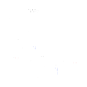 CNc1scc2c1CN(C1(C)CCC(=O)NC1=O)C2=O